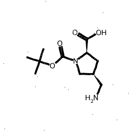 CC(C)(C)OC(=O)N1C[C@H](CN)C[C@@H]1C(=O)O